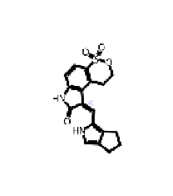 O=C1Nc2ccc3c(c2/C1=C/c1[nH]cc2c1CCC2)CCOS3(=O)=O